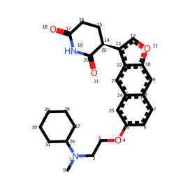 CN(CCOc1ccc2cc3occ([C@@H]4CCC(=O)NC4=O)c3cc2c1)C1CCCCC1